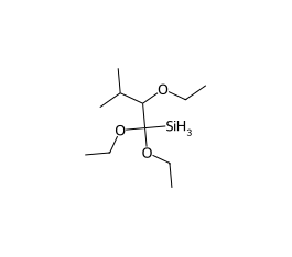 CCOC(C(C)C)C([SiH3])(OCC)OCC